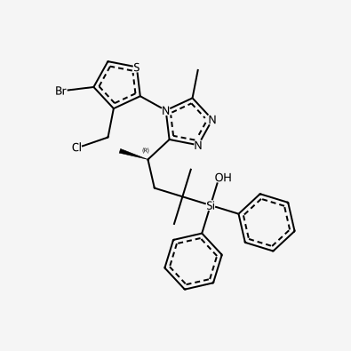 Cc1nnc([C@H](C)CC(C)(C)[Si](O)(c2ccccc2)c2ccccc2)n1-c1scc(Br)c1CCl